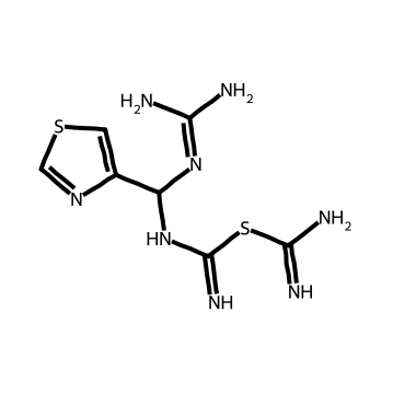 N=C(N)SC(=N)NC(N=C(N)N)c1cscn1